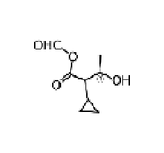 C[C@@H](O)C(C(=O)OC=O)C1CC1